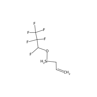 C=CC[SiH2]OC(F)C(F)(F)C(F)(F)F